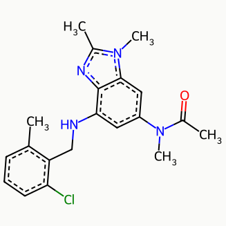 CC(=O)N(C)c1cc(NCc2c(C)cccc2Cl)c2nc(C)n(C)c2c1